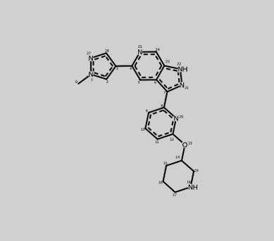 Cn1cc(-c2cc3c(-c4cccc(OC5CCCNC5)n4)n[nH]c3cn2)cn1